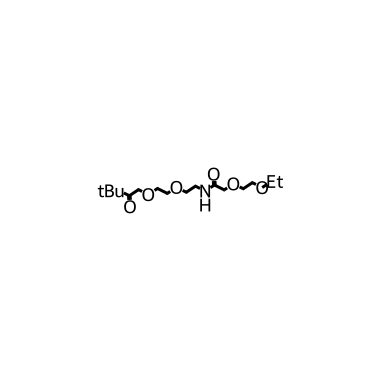 CCOCCOCC(=O)NCCOCCOCC(=O)C(C)(C)C